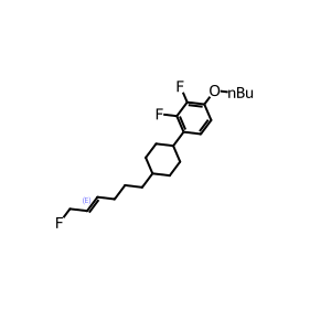 CCCCOc1ccc(C2CCC(CCC/C=C/CF)CC2)c(F)c1F